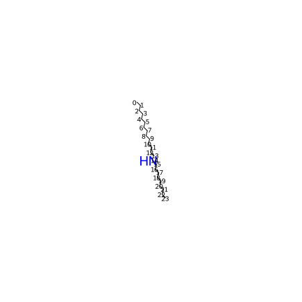 CCCCCCCCCCCCCCNCCCCCCCCC